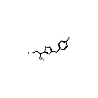 NCC(N)c1nc(Cc2ccc(F)cc2)ns1